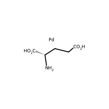 N[C@@H](CCC(=O)O)C(=O)O.[Pd]